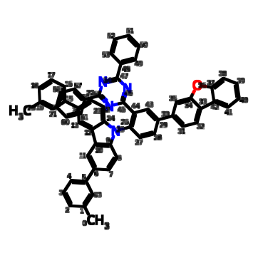 Cc1cccc(-c2ccc3c(c2)c2cc(-c4cccc(C)c4)ccc2n3-c2ccc(-c3ccc4c(c3)oc3ccccc34)cc2-c2nc(-c3ccccc3)nc(-c3ccccc3)n2)c1